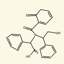 O=C(C1=CC=CCC1=S)N(C(CO)c1ccccc1)C(C(O)=S)c1ccccc1